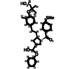 CSc1ccc(C(=O)[C@@H]2CN(C(O)Oc3ccccc3)C[C@H]2CCc2ccc(OC(C)(C)C(=O)O)c(C)c2)cc1